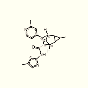 Cc1cc([C@@H]2[C@@H](C(=O)Nc3ncc(C)s3)[C@@H]3O[C@H]2C2C(C)C23)ccn1